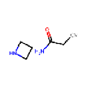 C1CNC1.N#CCC(N)=O